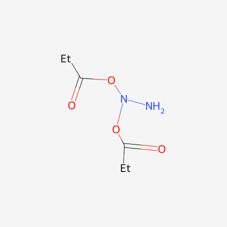 CCC(=O)ON(N)OC(=O)CC